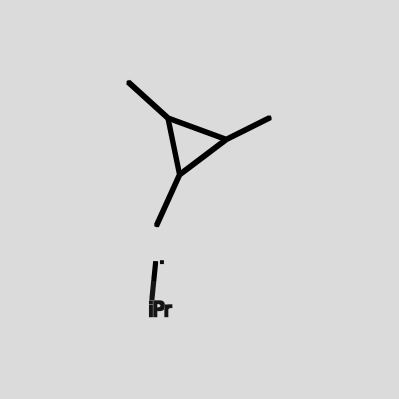 CC1C(C)C1C.[CH2]C(C)C